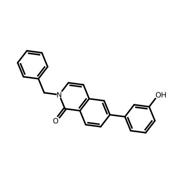 O=c1c2ccc(-c3cccc(O)c3)cc2ccn1Cc1ccccc1